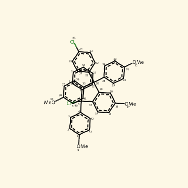 COc1ccc(C(Cl)(c2ccccc2)c2ccc(OC)cc2C(c2ccc(Cl)cc2)(c2ccc(OC)cc2)c2ccc(OC)cc2)cc1